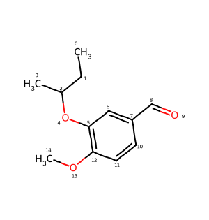 CCC(C)Oc1cc(C=O)ccc1OC